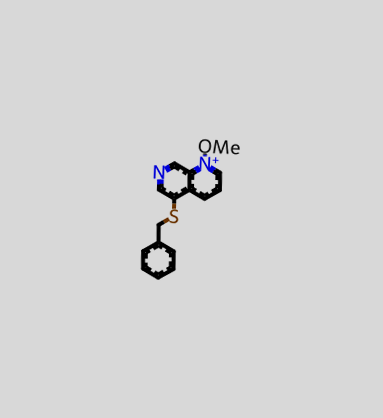 CO[n+]1cccc2c(SCc3ccccc3)cncc21